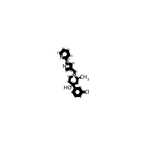 C[C@H]1C[C@@](O)(c2cccc(Cl)c2)CCN1Cc1cnn(-c2ccccn2)c1